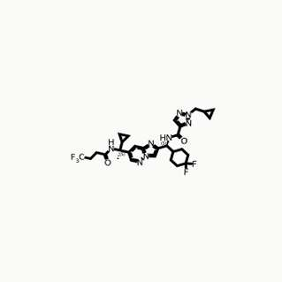 C[C@@](NC(=O)CCC(F)(F)F)(c1cnn2cc([C@@H](NC(=O)c3cnn(CC4CC4)n3)C3CCC(F)(F)CC3)nc2c1)C1CC1